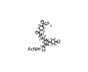 CC(=O)NCCNc1cc(N2CCN(C(=O)c3ccc(C(=O)C(F)(F)F)cc3)CC2)nc(-c2ccc(Cl)cc2)n1